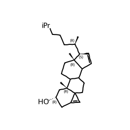 CC(C)CCC[C@@H](C)[C@H]1C=CC2C3CCC45C=C4C[C@H](O)C[C@]5(C)C3CC[C@@]21C